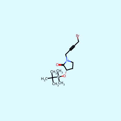 CC(C)(C)[Si](C)(C)O[C@H]1CCN(CC#CCBr)C1=O